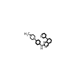 CN1CCN(c2ccc(Nc3ncc4cccc(-c5cccnc5)c4n3)cc2)CC1